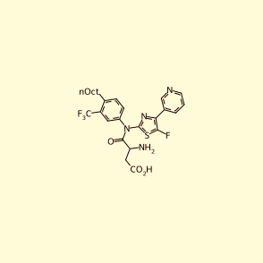 CCCCCCCCc1ccc(N(C(=O)C(N)CC(=O)O)c2nc(-c3cccnc3)c(F)s2)cc1C(F)(F)F